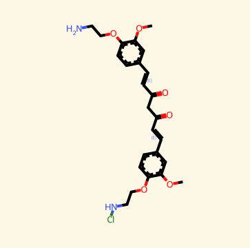 COc1cc(/C=C/C(=O)CC(=O)/C=C/c2ccc(OCCNCl)c(OC)c2)ccc1OCCN